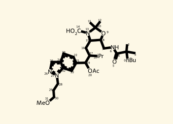 CCCCC(C)(C)C(=O)NCC1OC(C)(C)N(C(=O)O)C1CC(C(C)C)C(OC(C)=O)c1ccc2cnn(CCCOC)c2c1